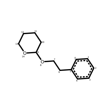 [c]1ccccc1CCOC1CCCCO1